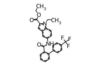 CCOC(=O)c1cc2cc(NC(=O)c3ccccc3-c3ccc(C(F)(F)F)cc3)ccc2n1CC